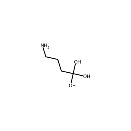 NCCCC(O)(O)O